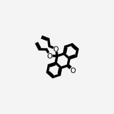 C=CCOC1(OCC=C)c2ccccc2C(=O)c2ccccc21